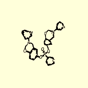 O=P(Oc1ccc2c(c1)CN(c1cccnc1)CO2)(Oc1ccc2c(c1)CN(c1cccnc1)CO2)c1ccccc1